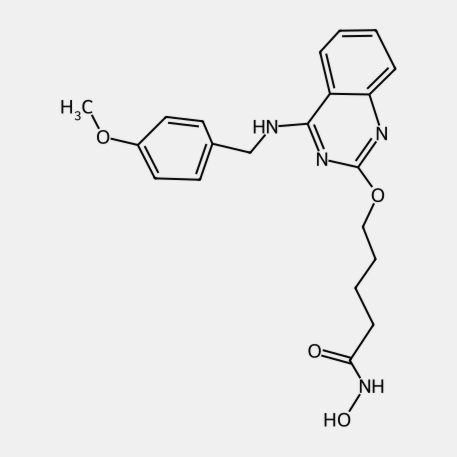 COc1ccc(CNc2nc(OCCCCC(=O)NO)nc3ccccc23)cc1